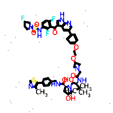 Cc1ncsc1-c1ccc(CNC(=O)[C@@H]2C[C@@H](O)CN2C(O)[C@@H](NC(=O)CN2CC(OCCOc3ccc(-c4cnc5[nH]cc(C(=O)c6c(F)ccc(NS(=O)(=O)N7CC[C@@H](F)C7)c6F)c5c4)cc3)C2)C(C)(C)C)cc1